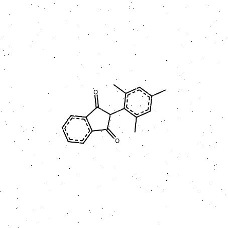 Cc1cc(C)c(C2C(=O)c3ccccc3C2=O)c(C)c1